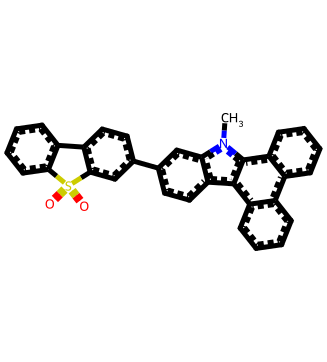 Cn1c2cc(-c3ccc4c(c3)S(=O)(=O)c3ccccc3-4)ccc2c2c3ccccc3c3ccccc3c21